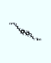 CCCCCCCCCC=CCOc1ccc(-c2ccc(CCCCCOCCC)cc2)nc1